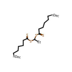 CCCCCCCCCCCCCCCC(=S)SC(CC)SC(=S)CCCCCCCCCCCCCCC